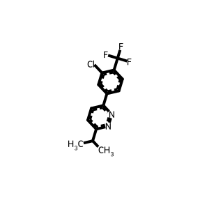 CC(C)c1ccc(-c2ccc(C(F)(F)F)c(Cl)c2)nn1